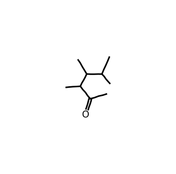 CC(=O)C(C)C(C)C(C)C